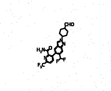 NC(=O)c1nc(C(F)(F)F)ccc1-c1cc2cn(C3CCC(C=O)CC3)nc2cc1C(F)F